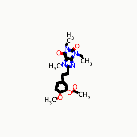 CCn1c(=O)c2c(nc(C=Cc3ccc(OC)c(OC(C)=O)c3)n2C)n(CC)c1=O